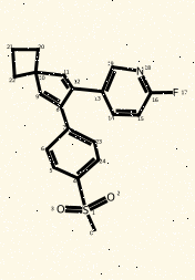 CS(=O)(=O)c1ccc(C2=CC3(C=C2c2ccc(F)nc2)CCC3)cc1